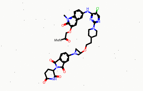 CNC(=O)COc1cc2cc(Nc3nc(N4CCC(CCOC5CN(c6ccc7c(c6)C(=O)N(C6CCC(=O)NC6=O)C7=O)C5)CC4)ncc3Cl)ccc2n(C)c1=O